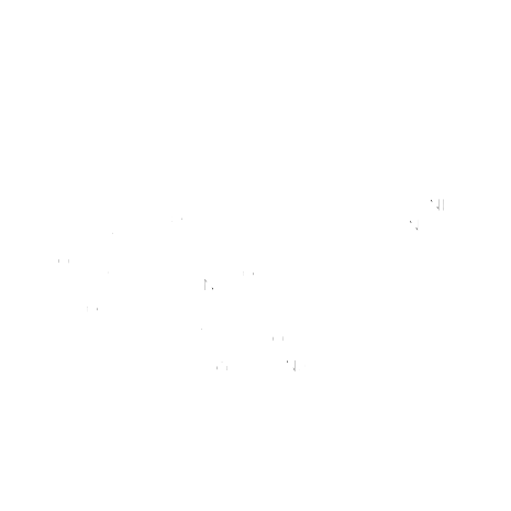 CC1(CCC(=O)ON2C(=O)CC(S(=O)(=O)[O-])C2=O)CCCCNN1.[Na+]